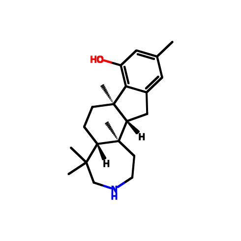 Cc1cc(O)c2c(c1)C[C@@H]1[C@@]3(C)CCNCC(C)(C)[C@@H]3CC[C@@]21C